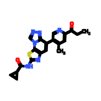 CCC(=O)c1cc(C)c(-c2cc3nc(NC(=O)C4CC4)sc3n3cnnc23)cn1